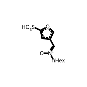 CCCCCC[N+]([O-])=Cc1coc(S(=O)(=O)O)c1